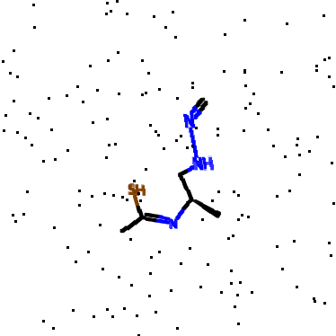 C=NNC[C@@H](C)/N=C(/C)S